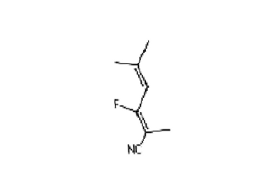 CC(C)=C/C(F)=C(\C)C#N